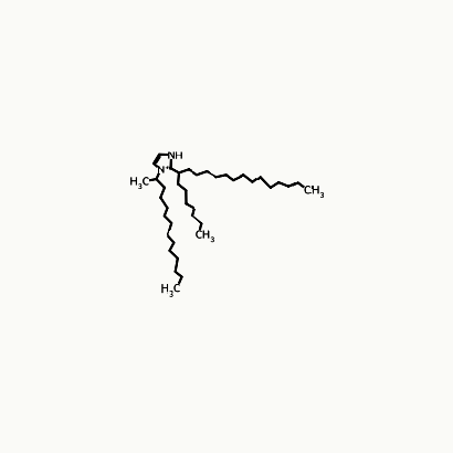 CCCCCCCCCCCCCCC(CCCCCCC)c1[nH]cc[n+]1C(C)CCCCCCCCCCCC